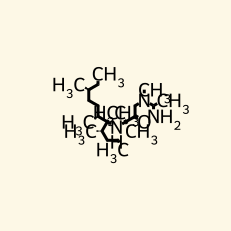 CCC[C@H](C)[C@@](C)(NC(C)(C)C(=O)CN(C)C(C)N)[C@@H](C)CC[C@@H](C)CC